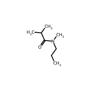 CCCN(C)C(=O)C(C)C